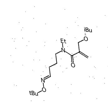 C=C(CO[C@@H](C)CC)C(=O)N(CC)CCC/C=N/OC(C)(C)C